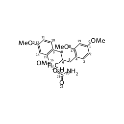 COc1ccc(CC(C)Cc2ccc(OC)cc2OC)c(OC)c1.N[SH](=O)=O